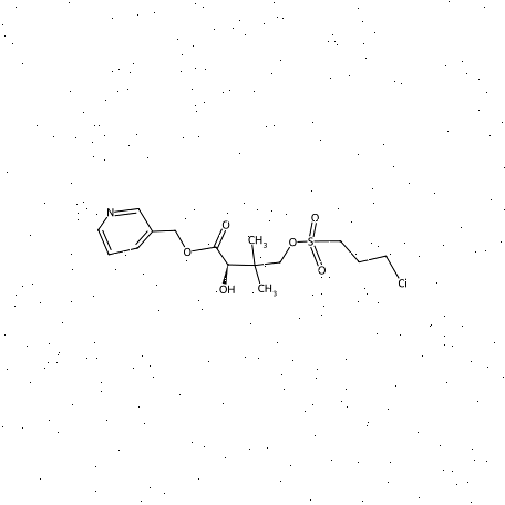 CC(C)(COS(=O)(=O)CCCCl)[C@@H](O)C(=O)OCc1cccnc1